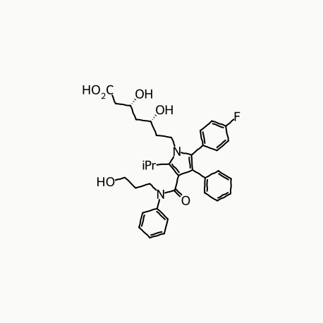 CC(C)c1c(C(=O)N(CCCO)c2ccccc2)c(-c2ccccc2)c(-c2ccc(F)cc2)n1CC[C@@H](O)C[C@@H](O)CC(=O)O